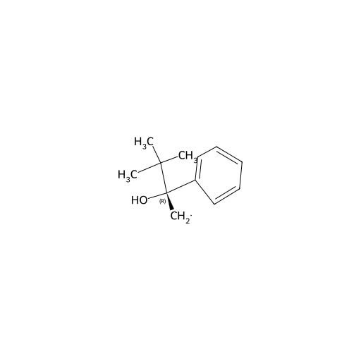 [CH2][C@](O)(c1ccccc1)C(C)(C)C